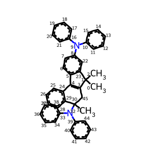 CC1(C)C2=C(c3ccc(N(c4ccccc4)c4ccccc4)cc31)c1ccccc1C(C)(N(c1ccccc1)c1ccccc1)C2